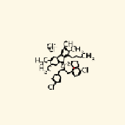 CCCCc1c(C)c(C)cc2c1[CH]([Zr+2]([C]1=CC=CC1)=[C](Cc1ccc(Cl)cc1)Cc1ccc(Cl)cc1)c1cc(C)c(C)cc1-2.[Cl-].[Cl-]